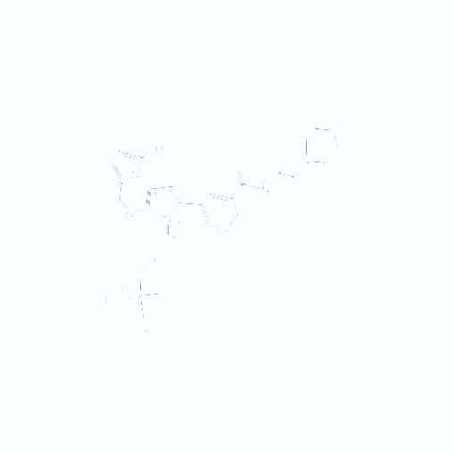 Cc1ncc2cnc3c(cc(-c4cccc(C(=O)NCCN5CCOCC5)c4)n3COCC[Si](C)(C)C)n12